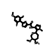 COc1cc(F)c(-c2nc(C(=O)Nc3cnn(C)c3C3CCC(N)[C@@H](OC)CO3)cs2)c(F)c1